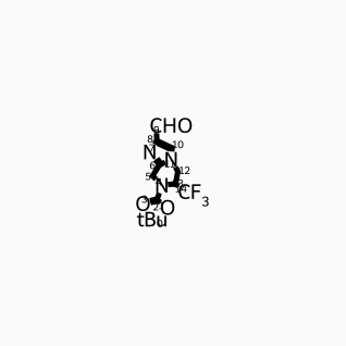 CC(C)(C)OC(=O)N1Cc2nc(C=O)cn2CC1C(F)(F)F